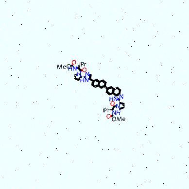 COC(=O)NC(C(=O)N1CCC[C@H]1c1ncc(-c2ccc3cc(-c4ccc5c(c4)CCc4nc([C@@H]6CCCN6C(=O)[C@@H](NC(=O)OC)C(C)C)[nH]c4-5)ccc3c2)[nH]1)C(C)C